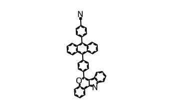 N#Cc1ccc(-c2c3ccccc3c(-c3ccc(-c4oc5ccccc5c5nc6ccccc6c4-5)cc3)c3ccccc23)cc1